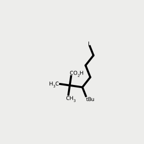 CC(C)(C)C(CCCI)C(C)(C)C(=O)O